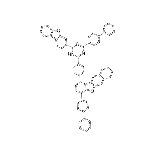 c1ccc(-c2ccc(C3=NC(c4ccc5c(c4)oc4ccccc45)NC(c4ccc(-c5ccc(-c6ccc(-c7ccccc7)cc6)c6oc7cc8ccccc8cc7c56)cc4)=N3)cc2)cc1